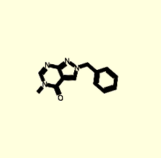 Cn1cnc2nn(Cc3ccccc3)cc2c1=O